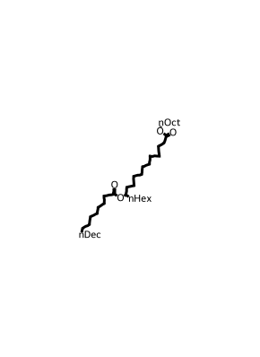 CCCCCCCCCCCCCCCCCC(=O)OC(CCCCCC)CCCCCCCCCCC(=O)OCCCCCCCC